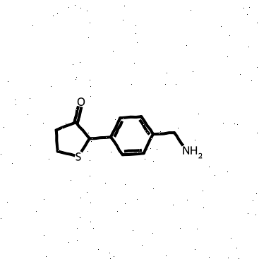 NCc1ccc(C2SCCC2=O)cc1